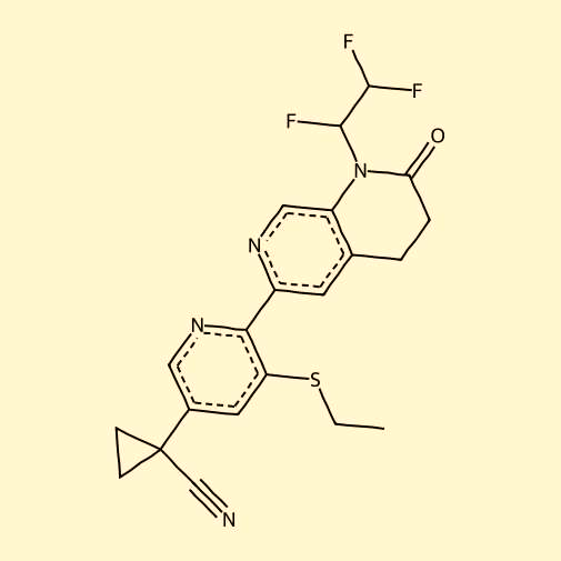 CCSc1cc(C2(C#N)CC2)cnc1-c1cc2c(cn1)N(C(F)C(F)F)C(=O)CC2